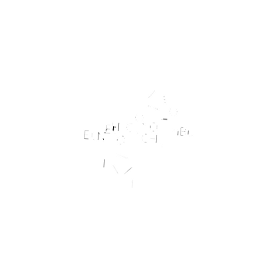 CCCCc1oc2ccccc2c1OC(=O)C(C)(C)C(Cc1cc(I)cc(I)c1)OCCN(CC)CC